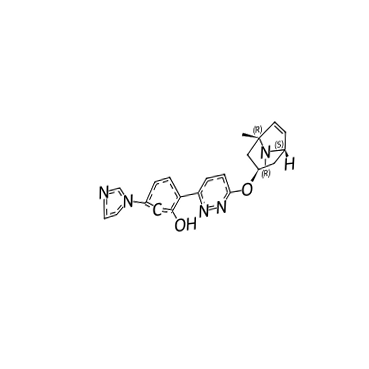 CN1[C@@H]2C=C[C@@]1(C)C[C@H](Oc1ccc(-c3ccc(-n4ccnc4)cc3O)nn1)C2